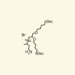 CCCCCCCCCCCCCCOCC(C[N+](C)(C)C(C)CCN)OCCCCCCCCCCCCCC.[Br-]